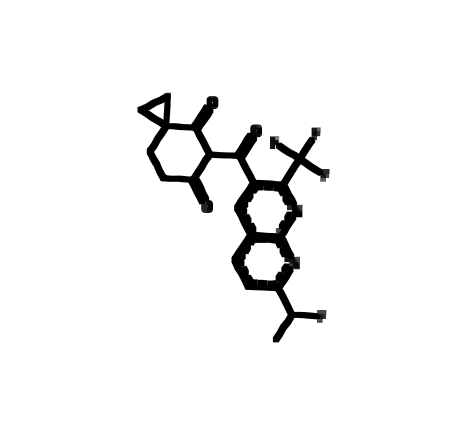 CC(F)c1ccc2cc(C(=O)C3C(=O)CCC4(CC4)C3=O)c(C(F)(F)F)nc2n1